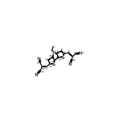 CCn1c2cc(C=C(C#N)C#N)sc2c2sc(C=C(C#N)C#N)cc21